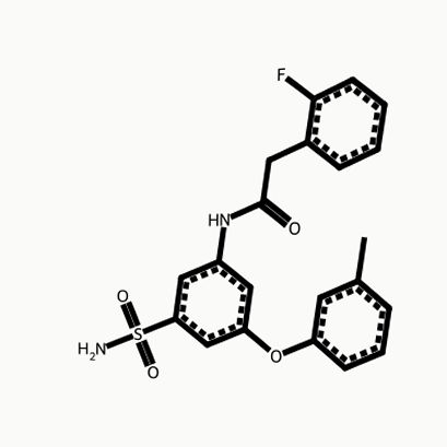 Cc1cccc(Oc2cc(NC(=O)Cc3ccccc3F)cc(S(N)(=O)=O)c2)c1